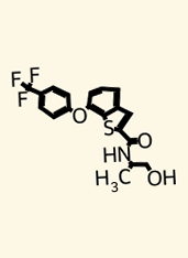 CC(CO)NC(=O)c1cc2cccc(Oc3ccc(C(F)(F)F)cc3)c2s1